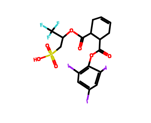 O=C(Oc1c(I)cc(I)cc1I)C1CC=CCC1C(=O)OC(CS(=O)(=O)O)C(F)(F)F